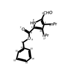 CCCc1c(C=O)[nH]c(C(=O)OCc2ccccc2)c1CCC